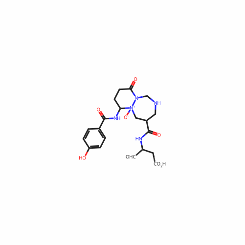 O=CC(CC(=O)O)NC(=O)C1CNCN2C(=O)CCC(NC(=O)c3ccc(O)cc3)[N+]2([O-])C1